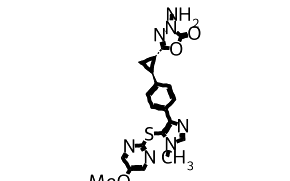 COc1cnc(Sc2c(-c3ccc([C@H]4C[C@@H]4c4nn(N)c(=O)o4)cc3)ncn2C)nc1